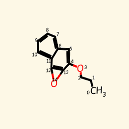 CCCOc1cc2ccccc2c2c1O2